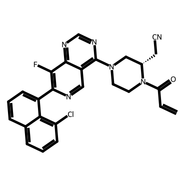 C=CC(=O)N1CCN(c2ncnc3c(F)c(-c4cccc5cccc(Cl)c45)ncc23)C[C@@H]1CC#N